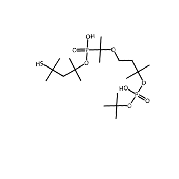 CC(C)(S)CC(C)(C)OP(=O)(O)C(C)(C)OCCC(C)(C)OP(=O)(O)OC(C)(C)C